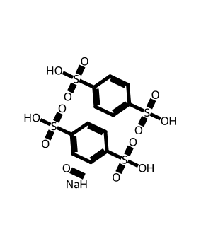 C=O.O=S(=O)(O)c1ccc(S(=O)(=O)O)cc1.O=S(=O)(O)c1ccc(S(=O)(=O)O)cc1.[NaH]